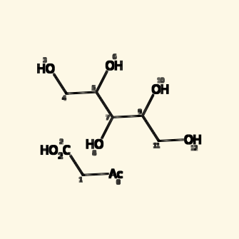 CC(=O)CC(=O)O.OCC(O)C(O)C(O)CO